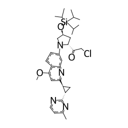 COc1cc([C@H]2C[C@@H]2c2nccc(C)n2)nc2cc(N3C[C@@H](O[Si](C(C)C)(C(C)C)C(C)C)C[C@@H]3C(=O)CCl)ccc12